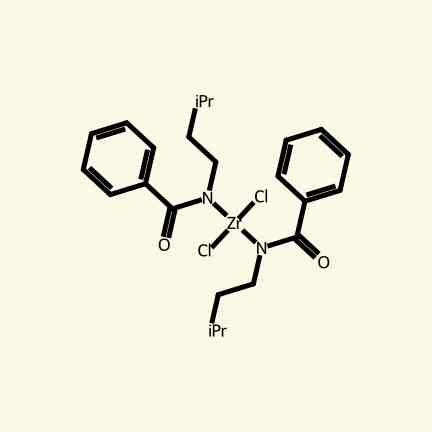 CC(C)CC[N](C(=O)c1ccccc1)[Zr]([Cl])([Cl])[N](CCC(C)C)C(=O)c1ccccc1